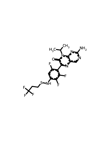 CC(C)n1c(=O)c(-c2c(F)cc(NSCCC(F)(F)F)c(F)c2F)nc2cnc(N)nc21